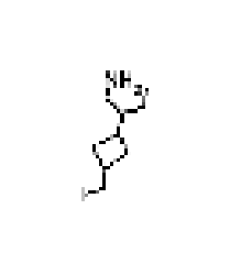 CCC(CN)[C@H]1C[C@@H](CI)C1